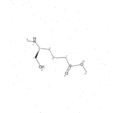 CN[C@H](CO)CCCC(=O)OC